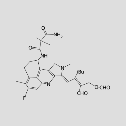 CCC(C)C(/C=C1/c2nc3cc(F)c(C)c4c3c(c2CN1C)C(NC(=O)C(C)(C)C(N)=O)CC4)=C(/C=O)COC=O